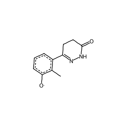 Cc1c([O])cccc1C1=NNC(=O)CC1